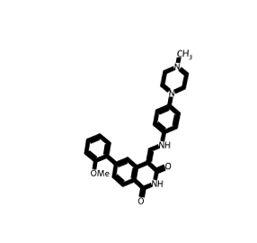 COc1ccccc1-c1ccc2c(c1)C(=CNc1ccc(N3CCN(C)CC3)cc1)C(=O)NC2=O